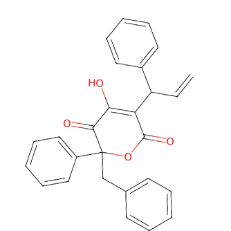 C=CC(C1=C(O)C(=O)C(Cc2ccccc2)(c2ccccc2)OC1=O)c1ccccc1